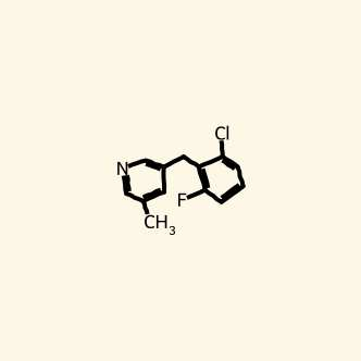 Cc1cncc(Cc2c(F)cccc2Cl)c1